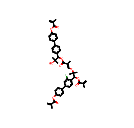 C=C(C)C(=O)Oc1ccc(-c2ccc(C(OC(=O)/C(C)=C/OC(C)(C)C(OC(=O)C(=C)C)c3ccc(-c4ccc(OC(=O)C(=C)C)cc4)cc3F)C(C)(C)O)cc2)cc1